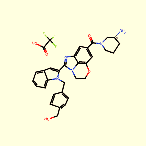 N[C@@H]1CCCN(C(=O)c2cc3c4c(c2)nc(-c2cc5ccccc5n2Cc2ccc(CO)cc2)n4CCO3)C1.O=C(O)C(F)(F)F